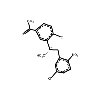 COC(=O)c1ccc(Cl)c([C@H](Cc2cc(Cl)ccc2[N+](=O)[O-])C(=O)O)c1